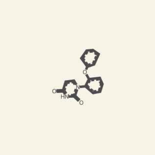 O=c1ccn(-c2ccccc2Oc2ccccc2)c(=O)[nH]1